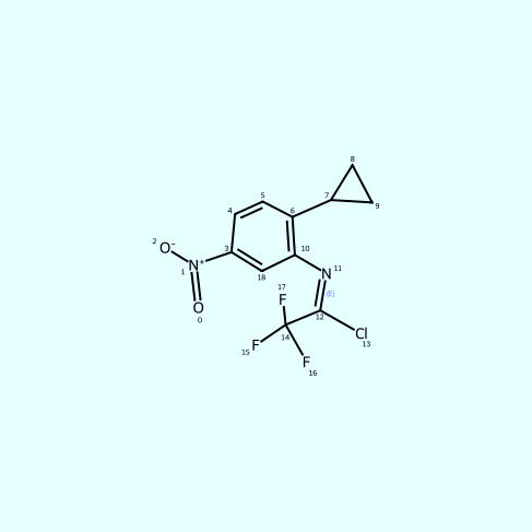 O=[N+]([O-])c1ccc(C2CC2)c(/N=C(/Cl)C(F)(F)F)c1